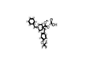 COC(=O)C1(Cc2ccc(OC(F)(F)F)cc2)CCN(Cc2ccccc2)CC1.O=CO